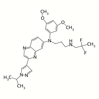 COc1cc(OC)cc(N(CCCNCC(C)(F)F)c2ccc3ncc(-c4cnn(C(C)C)c4)nc3c2)c1